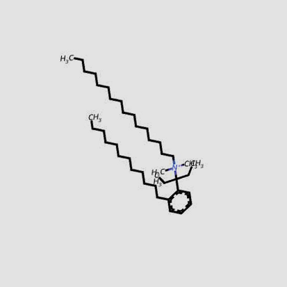 CCCCCCCCCCCCCCCC[N+](C)(C)C(CC)(CC)c1ccccc1CCCCCCCCCCCC